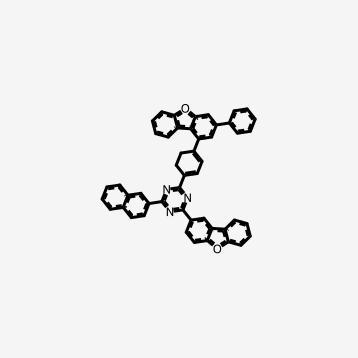 C1=C(c2nc(-c3ccc4ccccc4c3)nc(-c3ccc4oc5ccccc5c4c3)n2)CCC(c2cc(-c3ccccc3)cc3oc4ccccc4c23)=C1